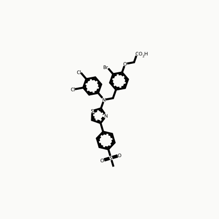 CS(=O)(=O)c1ccc(-c2csc(N(Cc3ccc(OCC(=O)O)c(Br)c3)c3ccc(Cl)c(Cl)c3)n2)cc1